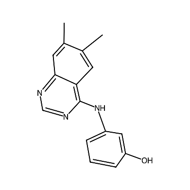 Cc1cc2ncnc(Nc3cccc(O)c3)c2cc1C